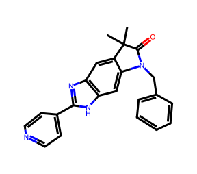 CC1(C)C(=O)N(Cc2ccccc2)c2cc3[nH]c(-c4ccncc4)nc3cc21